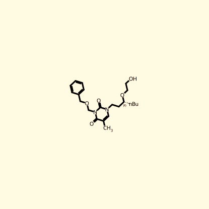 CCCC[C@H](CCn1cc(C)c(=O)n(COCc2ccccc2)c1=O)OCCO